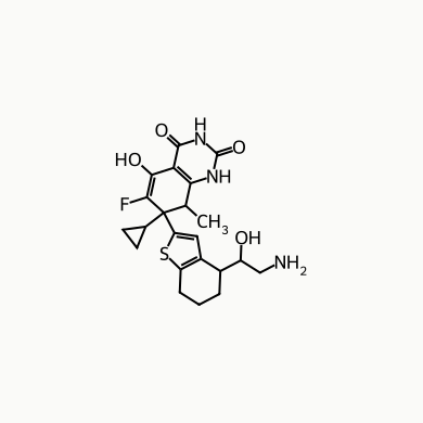 CC1c2[nH]c(=O)[nH]c(=O)c2C(O)=C(F)C1(c1cc2c(s1)CCCC2C(O)CN)C1CC1